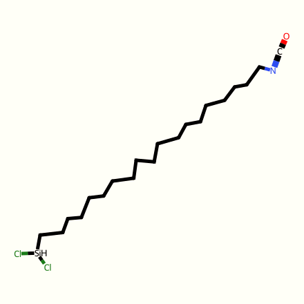 O=C=NCCCCCCCCCCCCCCCCCCC[SiH](Cl)Cl